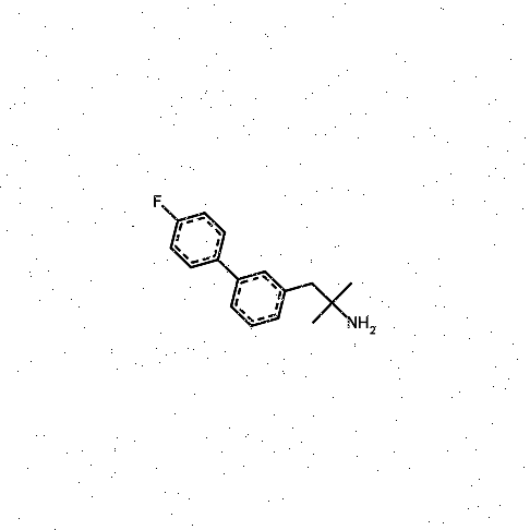 CC(C)(N)Cc1cccc(-c2ccc(F)cc2)c1